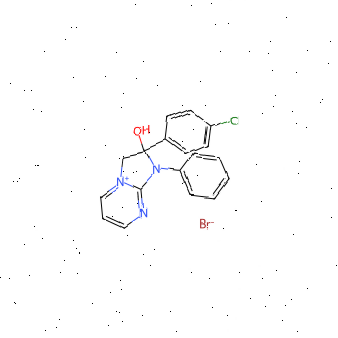 OC1(c2ccc(Cl)cc2)C[n+]2cccnc2N1c1ccccc1.[Br-]